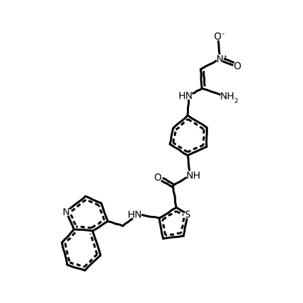 NC(=C[N+](=O)[O-])Nc1ccc(NC(=O)c2sccc2NCc2ccnc3ccccc23)cc1